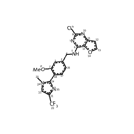 COc1cc(CNc2nc(Cl)nc3ccoc23)ccc1-c1nc(C(F)(F)F)cn1C